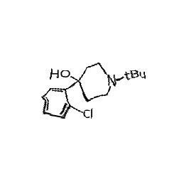 CC(C)(C)N1CCC(O)(c2ccccc2Cl)CC1